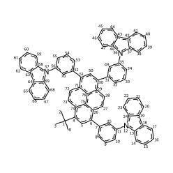 CC(C)(C)c1cc(-c2cccc(-n3c4ccccc4c4ccccc43)c2)c2ccc3c(-c4cccc(-n5c6ccccc6c6ccccc65)c4)cc(-c4cccc(-n5c6ccccc6c6ccccc65)c4)c4ccc1c2c34